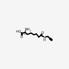 C#CCNC(=O)CCCCC[C@H](N)C(=O)O